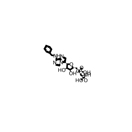 O=P(O)(O)CP(=O)(O)OC[C@H]1O[C@@H](c2cnc3c(NCc4ccccc4)nccn23)[C@H](O)[C@@H]1O